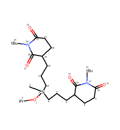 CC(C)O[Si](C)(CCCC1CCC(=O)N(C(C)(C)C)C1=O)CCCC1CCC(=O)N(C(C)(C)C)C1=O